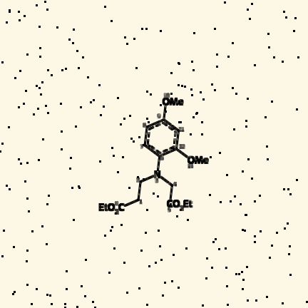 CCOC(=O)CCN(CC(=O)OCC)c1ccc(OC)cc1OC